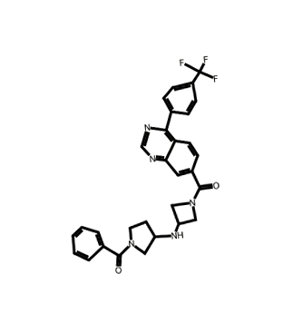 O=C(c1ccccc1)N1CCC(NC2CN(C(=O)c3ccc4c(-c5ccc(C(F)(F)F)cc5)ncnc4c3)C2)C1